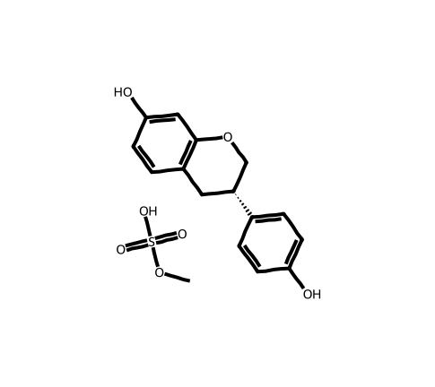 COS(=O)(=O)O.Oc1ccc([C@H]2COc3cc(O)ccc3C2)cc1